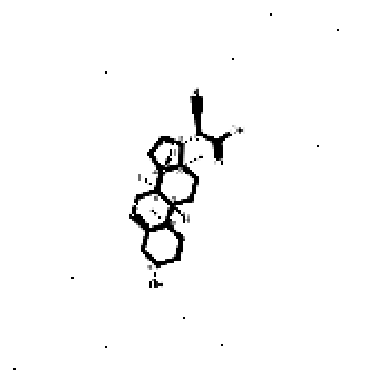 C[C@]12CC[C@H]3[C@@H](CC=C4C[C@@H](O)CC[C@@]43C)[C@@H]1CC[C@@H]2C(C#N)C(=O)O